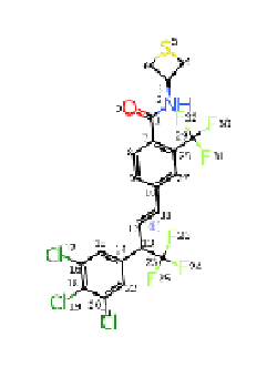 O=C(NC1CSC1)c1ccc(/C=C/C(c2cc(Cl)c(Cl)c(Cl)c2)C(F)(F)F)cc1C(F)(F)F